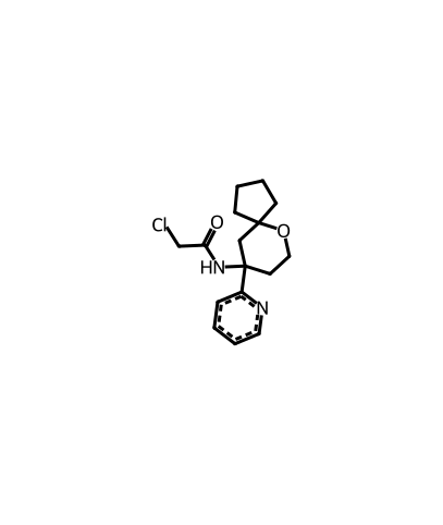 O=C(CCl)NC1(c2ccccn2)CCOC2(CCCC2)C1